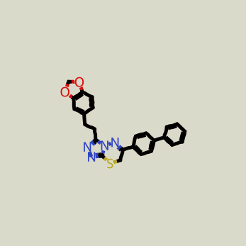 c1ccc(-c2ccc(C3=Nn4c(CCc5ccc6c(c5)OCO6)nnc4SC3)cc2)cc1